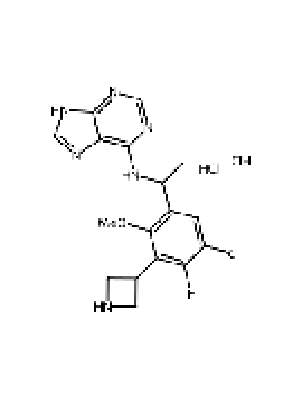 COc1c(C(C)Nc2ncnc3[nH]cnc23)cc(Cl)c(F)c1C1CNC1.Cl.Cl